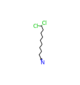 N#CCCCCCCCCC(Cl)Cl